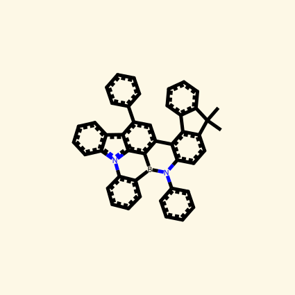 CC1(C)c2ccccc2-c2c1ccc1c2-c2cc(-c3ccccc3)c3c4ccccc4n4c3c2B(c2ccccc2-4)N1c1ccccc1